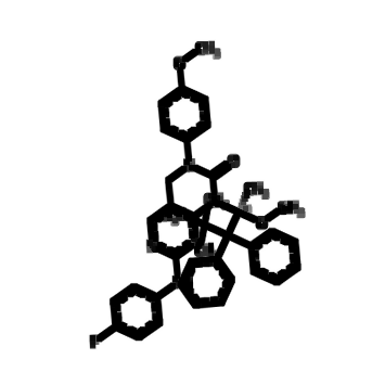 COc1ccc(N2Cc3cnc(Nc4ccc(F)cc4)nc3N([C@@](C)(O[SiH3])C(c3ccccc3)(c3ccccc3)C(C)(C)C)C2=O)cc1